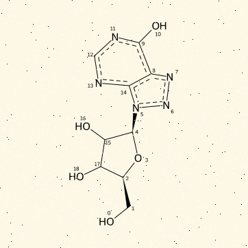 OC[C@@H]1O[C@H](n2nnc3c(O)ncnc32)C(O)C1O